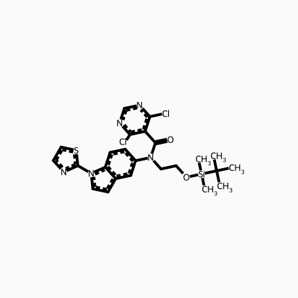 CC(C)(C)[Si](C)(C)OCCN(C(=O)c1c(Cl)ncnc1Cl)c1ccc2c(ccn2-c2nccs2)c1